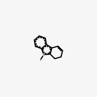 In1c2c(c3ccccc31)C=CCC2